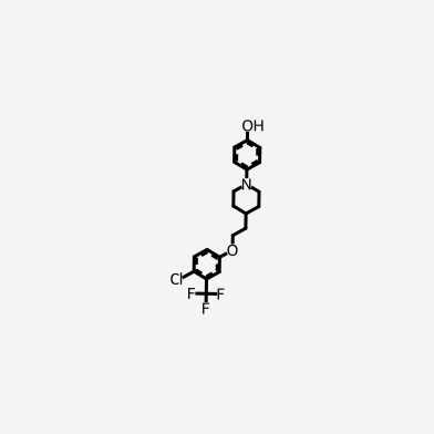 Oc1ccc(N2CCC(CCOc3ccc(Cl)c(C(F)(F)F)c3)CC2)cc1